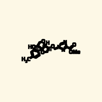 COC(=O)c1ncn(CO[C@@H]2CO[C@@]3(c4ccc(C)cc4)[C@@H]2OC[C@@H]3O)n1